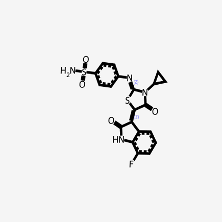 NS(=O)(=O)c1ccc(/N=C2\S/C(=C3\C(=O)Nc4c(F)cccc43)C(=O)N2C2CC2)cc1